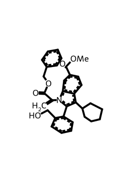 C=C(C(=O)OCc1ccccc1)n1c(-c2ccccc2CO)c(C2CCCCC2)c2ccc(C(=O)OC)cc21